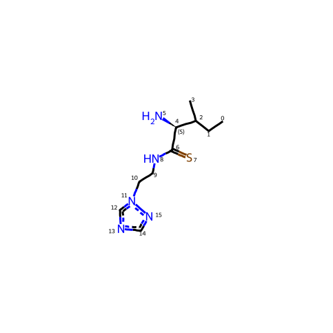 CCC(C)[C@H](N)C(=S)NCCn1cncn1